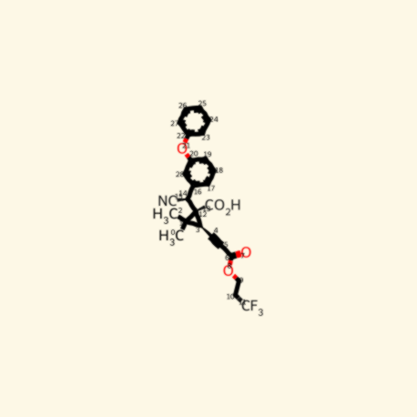 CC1(C)[C@H](C#CC(=O)OCCC(F)(F)F)[C@@]1(C(=O)O)[C@@H](C#N)c1cccc(Oc2ccccc2)c1